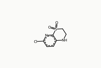 O=S1(=O)CCNc2ccc(Cl)nc21